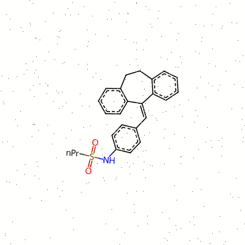 CCCS(=O)(=O)Nc1ccc(C=C2c3ccccc3CCc3ccccc32)cc1